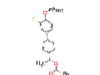 CCCCCOc1ccc(-c2ccc(C(C)OC(=O)C(C)CC)cc2)cc1F